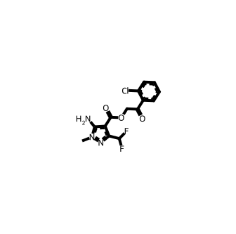 Cn1nc(C(F)F)c(C(=O)OCC(=O)c2ccccc2Cl)c1N